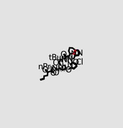 C=CCCC(=O)C(=O)[C@H](CCC)NC(=O)[C@@H]1C[C@@H](Oc2ccc(Cl)cn2)CN1C(=O)[C@@H](NC(=O)[C@@H](NC(=O)c1cnccn1)C1CCCCC1)C(C)(C)C